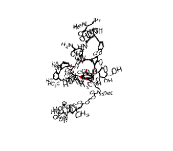 CCCCCCCCCCN(CCN[C@@]1(C)C[C@H](O[C@H]2[C@H](Oc3c4cc5cc3Oc3ccc(cc3Cl)[C@@H](O)[C@@H](NC(=O)[C@@H](CC(C)C)NC)C(=O)N[C@@H](CC(N)=O)C(=O)N[C@H]5C(=O)N[C@H]3C(=O)N[C@H](C(=O)N[C@H](C(=O)O)c5cc(O)cc(O)c5-c5cc3ccc5O)[C@H](O)c3ccc(c(Cl)c3)O4)O[C@H](CO)[C@@H](O)[C@@H]2O)O[C@@H](C)[C@H]1O)C(=O)OCOC(=O)CC(C)(C)CC(=O)NC(P(=O)(O)O)P(=O)(O)O